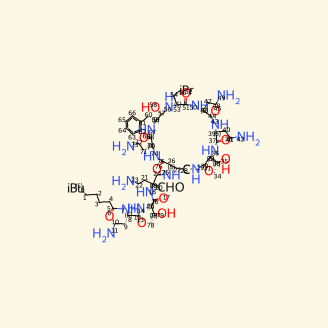 CC[C@H](C)CCCCC(=O)N[C@@H](CCN)C(=O)N[C@H](C(=O)N[C@](C=O)(CCN)CN[C@H]1CCNC(=O)[C@H]([C@@H](C)O)NC(=O)[C@H](CCN)NC(=O)[C@H](CCN)NC(=O)[C@H](CC(C)C)NC(O)[C@@H](Cc2ccccc2)NC(=O)[C@@H](CCN)NC1=O)[C@@H](C)O